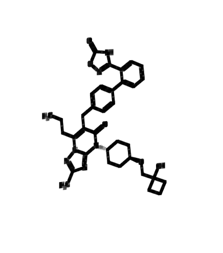 CCCc1c(Cc2ccc(-c3ccccc3-c3noc(=O)[nH]3)cc2)c(=O)n([C@H]2CC[C@H](OCC3(O)CCC3)CC2)c2nc(C)nn12